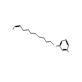 CCCCCCCC/C=C\CCCCCCCCNc1cccc(C(=O)O)c1